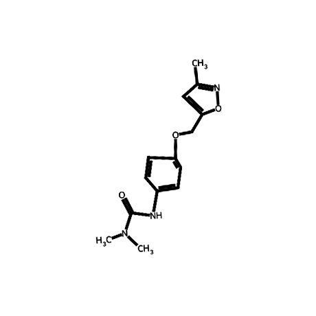 Cc1cc(COc2ccc(NC(=O)N(C)C)cc2)on1